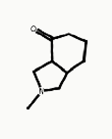 CN1CC2CCCC(=O)C2C1